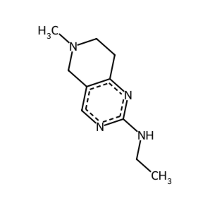 CCNc1ncc2c(n1)CCN(C)C2